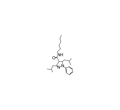 CCCCCCNC(=O)C1C(CC(C)C)=NN(c2ccccc2)C1CC(C)C